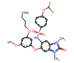 CCCOc1cc(OCCCOC)cc(Oc2cc3c(cc2NS(=O)(=O)c2ccc(OC(F)F)cc2)n(C)c(=O)n3C)c1